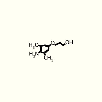 Cc1cc(OCCCO)cc(C)c1N